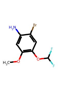 COc1cc(N)c(Br)cc1OC(F)F